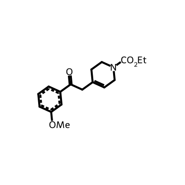 CCOC(=O)N1CC=C(CC(=O)c2cccc(OC)c2)CC1